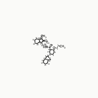 CCCOc1ccc(-c2cc3ccccc3s2)cc1C(=O)N[C@@H](CO)Cc1cn(C)c2ccccc12